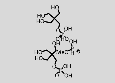 CO[PH](=O)O.O=P(O)(O)OCC(CO)(CO)CO.O=P(O)(O)OCC(CO)(CO)CO